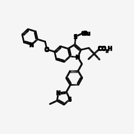 Cc1csc(-c2ccc(Cn3c(CC(C)(C)C(=O)O)c(SC(C)(C)C)c4cc(OCc5ccccn5)ccc43)cc2)n1